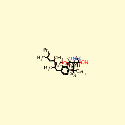 [2H]C([2H])(O)C(N)(C([2H])([2H])O)C([2H])([2H])C([2H])(C)c1ccc(CC(C)CC(C)CC(C)CC(C)C)c(C)c1C